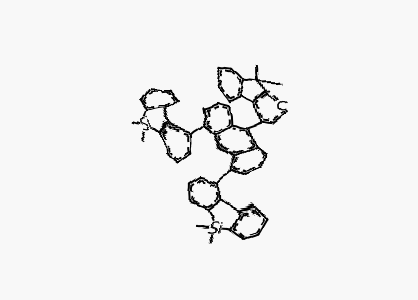 CC1(C)c2ccccc2-c2c(-c3c4cccc(-c5cccc6c5-c5ccccc5[Si]6(C)C)c4cc4c(-c5cccc6c5-c5ccccc5[Si]6(C)C)cccc34)cccc21